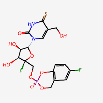 O=c1[nH]c(=S)c(CO)cn1[C@@H]1O[C@](F)(COP2(=O)OCc3cc(F)ccc3O2)[C@@H](O)[C@H]1O